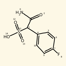 NC(=O)C(c1ccc(F)cc1)S(=O)(=O)O